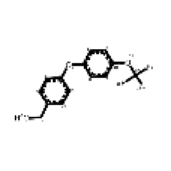 CCc1ccc(Oc2ccc(OC(F)(F)F)cc2)cc1